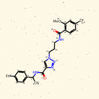 CCc1ccc(C(C#N)NC(=O)c2cn(CCCNC(=O)c3ccc(C(F)(F)F)cc3OC)nn2)cc1